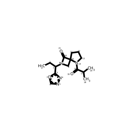 CCC(c1nnco1)N1CC2(CCCN2C(=O)C(C)C)C1=O